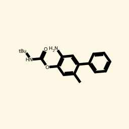 Cc1cc(OC(=O)NC(C)(C)C)c(N)cc1-c1ccccc1